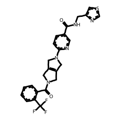 O=C(NCc1cscn1)c1ccc(N2CC3=C(CN(C(=O)c4ccccc4C(F)(F)F)C3)C2)nc1